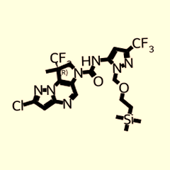 C[C@@]1(C(F)(F)F)CN(C(=O)Nc2cc(C(F)(F)F)nn2COCC[Si](C)(C)C)c2cnc3cc(Cl)nn3c21